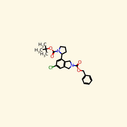 CC(C)(C)OC(=O)N1CCCC1c1cc(Cl)cc2c1CN(C(=O)OCc1ccccc1)C2